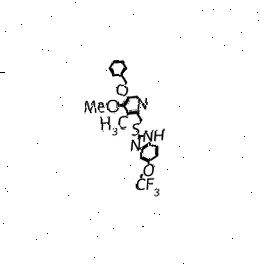 COc1c(OCc2ccccc2)cnc(CSc2nc3cc(OCC(F)(F)F)ccc3[nH]2)c1C